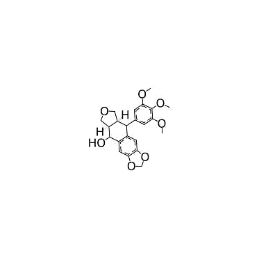 COc1cc(C2c3cc4c(cc3C(O)[C@H]3COC[C@@H]23)OCO4)cc(OC)c1OC